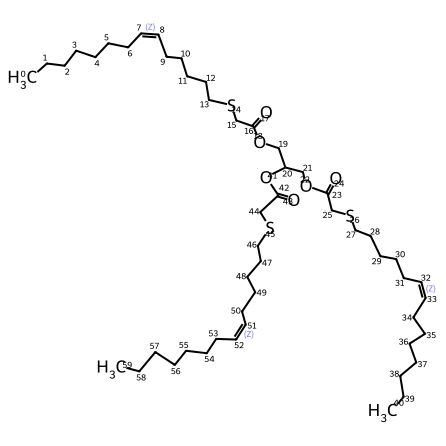 CCCCCCC/C=C\CCCCCSCC(=O)OCC(COC(=O)CSCCCCC/C=C\CCCCCCC)OC(=O)CSCCCCC/C=C\CCCCCCC